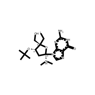 C[SiH](C)[C@]1(n2cnc3c(=O)[nH]c(N)nc32)C[C@H](OC(C)(C)C)[C@](CO)(CI)O1